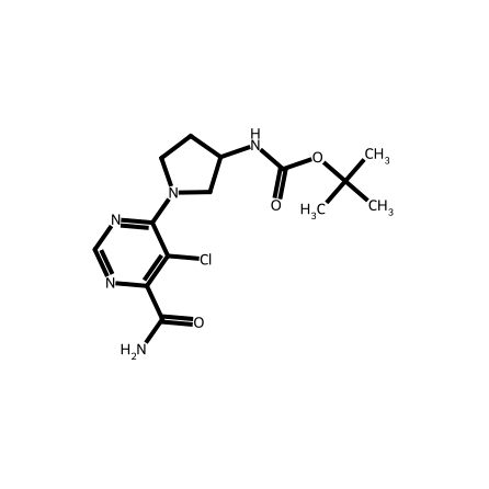 CC(C)(C)OC(=O)NC1CCN(c2ncnc(C(N)=O)c2Cl)C1